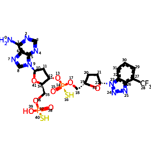 Nc1ncnc2c1ncn2[C@H]1C[C@H](O[P@](=O)(S)OC[C@@H]2CC[C@H](n3nnc4c(C(F)(F)F)cccc43)O2)[C@@H](COP(=O)(O)S)O1